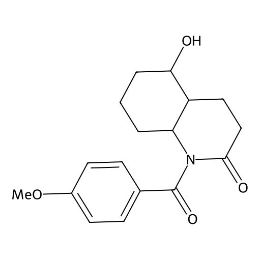 COc1ccc(C(=O)N2C(=O)CCC3C(O)CCCC32)cc1